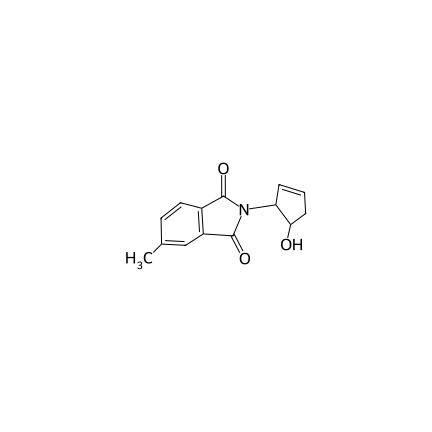 Cc1ccc2c(c1)C(=O)N(C1C=CCC1O)C2=O